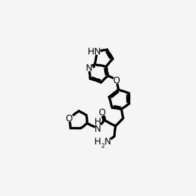 NCC(Cc1ccc(Oc2ccnc3[nH]ccc23)cc1)C(=O)NC1CCOCC1